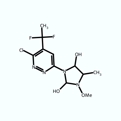 CON1C(C)C(O)N(c2cc(C(C)(F)F)c(Cl)nn2)C1O